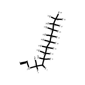 C=COC(F)(F)C(F)C(F)(F)C(F)(F)C(F)(F)C(F)(F)C(F)(F)C(F)(F)C(F)(F)C(F)(F)F